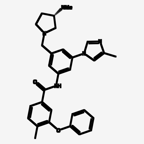 CN[C@H]1CCN(Cc2cc(NC(=O)c3ccc(C)c(Oc4ccccc4)c3)cc(-n3cnc(C)c3)c2)C1